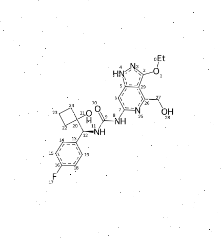 CCOc1n[nH]c2cc(NC(=O)N[C@@H](c3ccc(F)cc3)C3(O)CCC3)nc(CO)c12